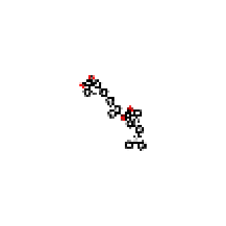 c1ccc(-c2nc(-c3cccc(-c4cccc5c4Oc4ccccc4C54c5ccccc5-c5c(-c6ccc(-c7ccc(-c8ccc(-c9cccc%10c9Oc9ccccc9C%109c%10ccccc%10-c%10ccccc%109)cc8)nn7)c7ccccc67)cccc54)c3)nc3ccccc23)cc1